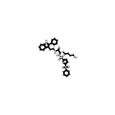 CC(=O)CCCCC[C@H](NS(=O)(=O)c1ccc(S(=O)(=O)c2ccccc2)s1)C(=O)NCCc1c(-c2ccccc2)[nH]c2ccccc12